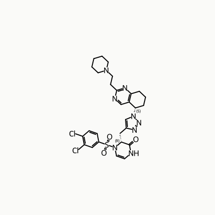 O=C1NC=CN(S(=O)(=O)c2ccc(Cl)c(Cl)c2)[C@@H]1Cc1cn([C@H]2CCCc3nc(CCN4CCCCC4)ncc32)nn1